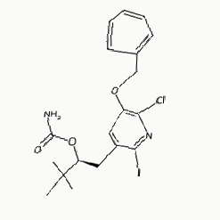 CC(C)(C)[C@H](Cc1cc(OCc2ccccc2)c(Cl)nc1I)OC(N)=O